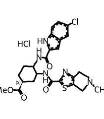 COC(=O)[C@H]1CCC(NC(=O)c2cc3cc(Cl)ccc3[nH]2)C(NC(=O)c2nc3c(s2)CN(C)CC3)C1.Cl